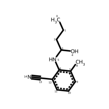 CCCC(O)Nc1c(C)cccc1C#N